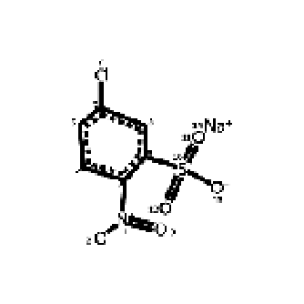 O=[N+]([O-])c1ccc(Cl)cc1S(=O)(=O)[O-].[Na+]